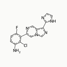 Nc1ccc(F)c(-c2cn3cnc(-c4ncc[nH]4)c3cn2)c1Cl